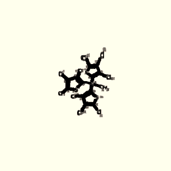 C[Si](c1sc(Cl)c(Cl)c1Cl)(c1sc(Cl)c(Cl)c1Cl)c1sc(Cl)c(Cl)c1Cl